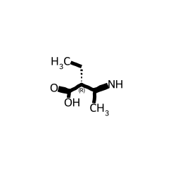 CC[C@H](C(C)=N)C(=O)O